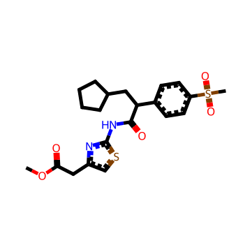 COC(=O)Cc1csc(NC(=O)C(CC2CCCC2)c2ccc(S(C)(=O)=O)cc2)n1